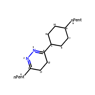 CCCCCC1=NN=C(C2CCC(CCCCC)CC2)CC1